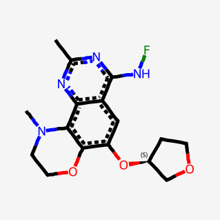 Cc1nc(NF)c2cc(O[C@H]3CCOC3)c3c(c2n1)N(C)CCO3